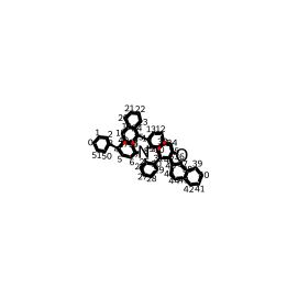 c1ccc(-c2ccc(N(c3ccccc3-c3cccc4ccccc34)c3ccccc3-c3cccc4oc5c6ccccc6ccc5c34)cc2)cc1